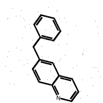 [c]1c(Cc2ccccc2)ccc2ncccc12